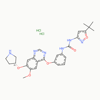 COc1cc2c(Oc3cccc(NC(=O)Nc4cc(C(C)(C)C)on4)c3)ncnc2cc1O[C@@H]1CCNC1.Cl.Cl